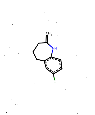 C=C1CCCc2cc(Cl)ccc2N1